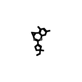 CCC1(C)C=C(C2=NC3CC3C3=C(C)C=C(C)CC3O2)CC1